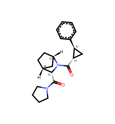 O=C([C@@H]1[C@@H]2CC[C@@H](C2)N1C(=O)[C@H]1C[C@@H]1c1ccccc1)N1CCCC1